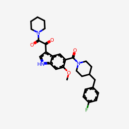 COc1cc2[nH]cc(C(=O)C(=O)N3CCCCC3)c2cc1C(=O)N1CCC(Cc2ccc(F)cc2)CC1